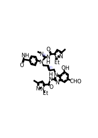 CCn1nc(C)cc1C(=O)N/C(=N/C)N(C/C=C/Cn1c(NC(=O)c2cc(C)nn2CC)nc2cc(C=O)cc(O)c21)c1ccc(C(N)=O)cc1